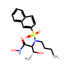 CCCCN(C(C(=O)NO)[C@@H](C)O)S(=O)(=O)c1ccc2ccccc2c1